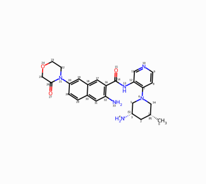 C[C@@H]1C[C@H](N)CN(c2ccncc2NC(=O)c2cc3cc(N4CCOCC4=O)ccc3cc2N)C1